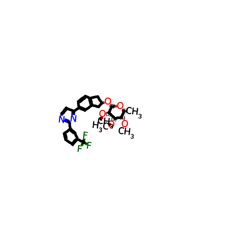 CO[C@@H]1[C@H](OC)[C@H](OC2Cc3ccc(-c4ccnc(-c5cccc(C(F)(F)F)c5)n4)cc3C2)O[C@@H](C)[C@@H]1OC